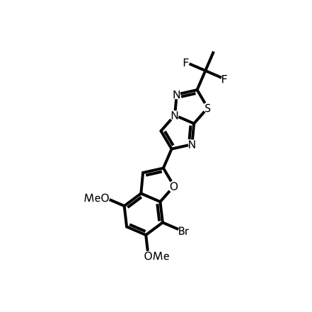 COc1cc(OC)c2cc(-c3cn4nc(C(C)(F)F)sc4n3)oc2c1Br